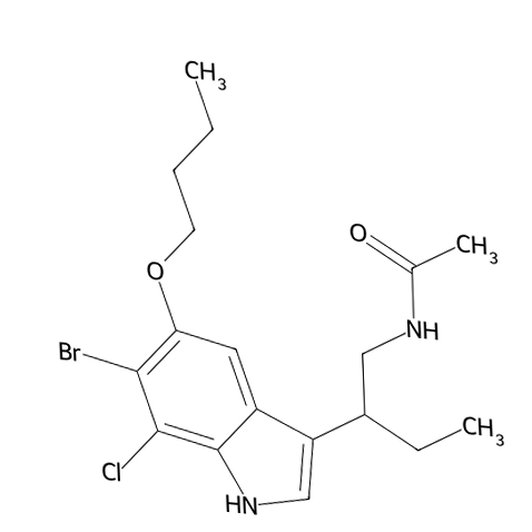 CCCCOc1cc2c(C(CC)CNC(C)=O)c[nH]c2c(Cl)c1Br